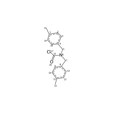 Cc1ccc(CN(Cc2ccc(C)cc2)C(=O)Cl)cc1